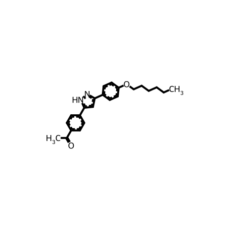 CCCCCCOc1ccc(-c2cc(-c3ccc(C(C)=O)cc3)[nH]n2)cc1